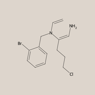 C=CN(Cc1ccccc1Br)/C(=C\N)CCCCl